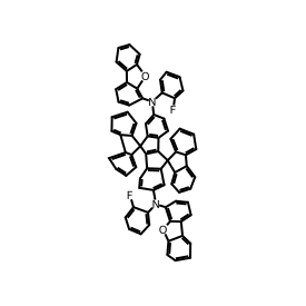 Fc1ccccc1N(c1ccc2c(c1)C1(C3=C2C2(c4cc(N(c5ccccc5F)c5cccc6c5oc5ccccc56)ccc43)c3ccccc3-c3ccccc32)c2ccccc2-c2ccccc21)c1cccc2c1oc1ccccc12